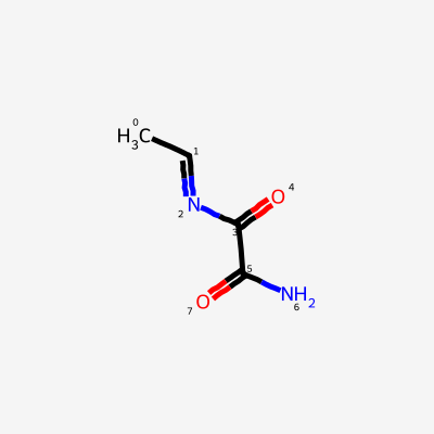 CC=NC(=O)C(N)=O